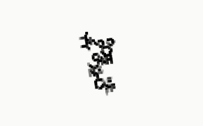 COc1ccc(NC(=O)c2sc(-c3cccc(C(F)(F)F)c3)nc2C)cc1OCCN(C(C)C)C(C)C